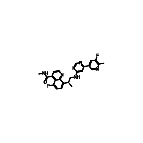 CNC(=O)c1ccnc2c([C@H](C)CNc3cc(-c4cnc(C)c(F)c4)ncn3)ccc(F)c12